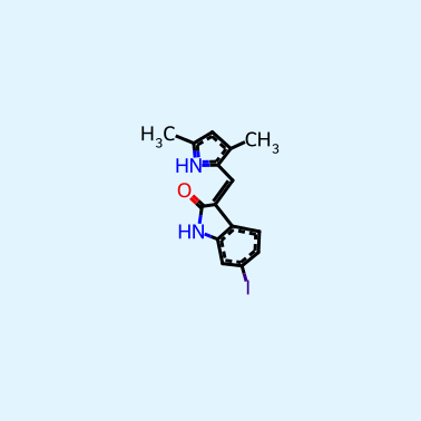 Cc1cc(C)c(/C=C2\C(=O)Nc3cc(I)ccc32)[nH]1